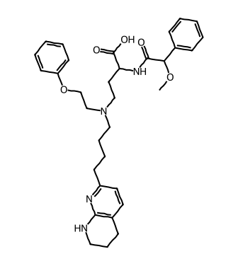 COC(C(=O)NC(CCN(CCCCc1ccc2c(n1)NCCC2)CCOc1ccccc1)C(=O)O)c1ccccc1